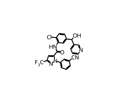 N#Cc1cccc(-n2nc(C(F)(F)F)cc2C(=O)Nc2cc(C(O)c3cccnc3)ccc2Cl)c1